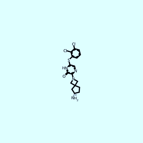 N[C@H]1CCC2(C1)CN(c1ncc(Sc3cccc(Cl)c3Cl)[nH]c1=O)C2